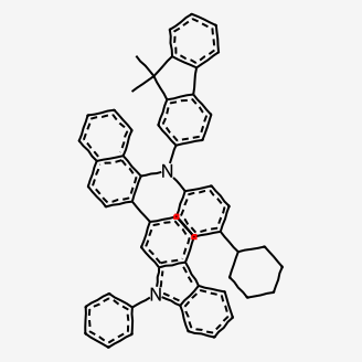 CC1(C)c2ccccc2-c2ccc(N(c3ccc(C4CCCCC4)cc3)c3c(-c4ccc5c6ccccc6n(-c6ccccc6)c5c4)ccc4ccccc34)cc21